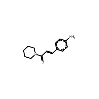 Nc1ccc(C=CC(=O)N2CCCCC2)cc1